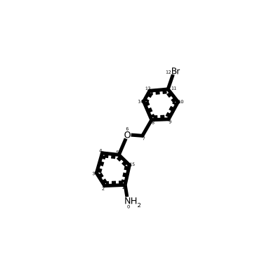 Nc1cccc(OCc2ccc(Br)cc2)c1